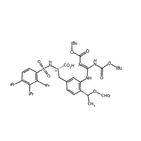 CC(C)c1ccc(S(=O)(=O)N[C@@H](Cc2ccc(C(C)O[C]=O)c(NC(=NC(=O)OC(C)(C)C)NC(=O)OC(C)(C)C)c2)C(=O)O)c(C(C)C)c1C(C)C